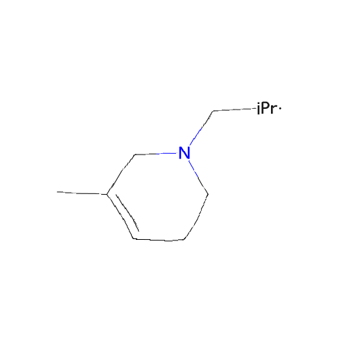 C[C](C)CN1CCC=C(C)C1